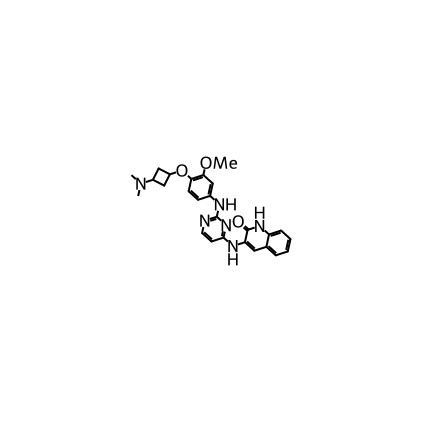 COc1cc(Nc2nccc(Nc3cc4ccccc4[nH]c3=O)n2)ccc1OC1CC(N(C)C)C1